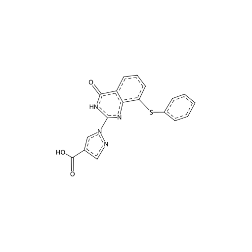 O=C(O)c1cnn(-c2nc3c(Sc4ccccc4)cccc3c(=O)[nH]2)c1